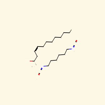 CCCCCC[C@@H](O)C/C=C\CCCCCCCC(=O)O.O=C=NCCCCCCN=C=O